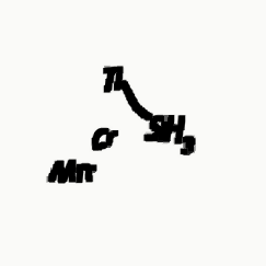 [Cr].[Mn].[SiH3][Ti]